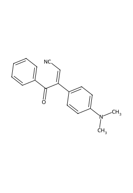 CN(C)c1ccc(C(=CC#N)C(=O)c2ccccc2)cc1